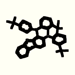 CC(C)(C)c1ccc(N2c3cccc4c3B(c3cc(C(C)(C)C)ccc3C4(C)C)c3ccc4c(oc5ccccc54)c32)cc1